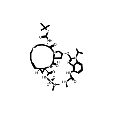 CNC(=O)Nc1cccc2c1nc(O[C@@H]1C[C@H]3C(=O)N[C@]4(C(=O)NS(=O)(=O)N(C)C)C[C@H]4/C=C\CCCCC[C@H](NC(=O)OC(C)(C)C)C(=O)N3C1)n2C(C)C